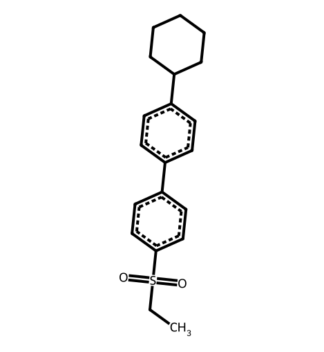 CCS(=O)(=O)c1ccc(-c2ccc(C3CCCCC3)cc2)cc1